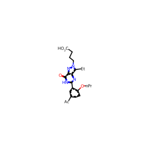 CCCOc1ccc(C(C)=O)cc1-c1nc2c(CC)n(CCCC(=O)O)nc2c(=O)[nH]1